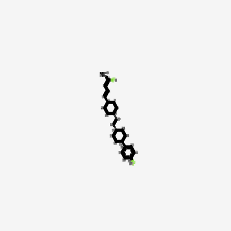 N#CC(F)=CC=C[C@H]1CC[C@H](CC[C@H]2CC[C@H](c3ccc(F)cc3)CC2)CC1